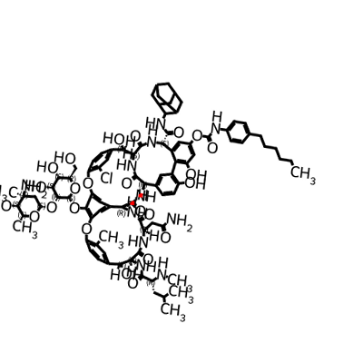 CCCCCCc1ccc(NC(=O)Oc2cc(O)c3c(c2)[C@@H](C(=O)NC2C4CC5CC(C4)CC2C5)NC(=O)[C@H]2NC(=O)[C@H](NC(=O)[C@@H]4NC(=O)[C@H](CC(N)=O)NC(=O)[C@H](NC(=O)[C@@H](CC(C)C)NC)[C@H](O)c5ccc(c(C)c5)Oc5cc4cc(c5O[C@@H]4O[C@H](CO)[C@@H](O)[C@H](O)[C@H]4O[C@H]4C[C@](C)(N)[C@H](O)[C@H](C)O4)Oc4ccc(cc4Cl)[C@H]2O)c2ccc(O)c-3c2)cc1